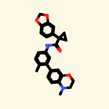 Cc1ccc(NC(=O)C2(c3ccc4c(c3)OCO4)CC2)cc1-c1ccc2c(c1)OCCN2C